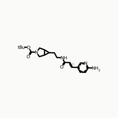 CC(C)(C)OC(=O)N1CC2C(CCNC(=O)/C=C/c3ccc(N)nc3)C2C1